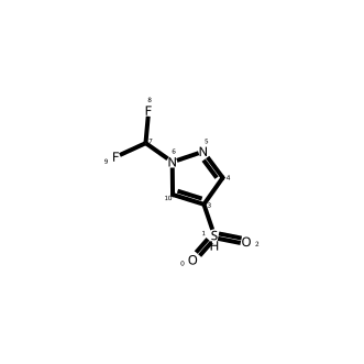 O=[SH](=O)c1cnn(C(F)F)c1